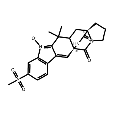 CC1(C)C2=[N+]([O-])c3cc(S(C)(=O)=O)ccc3C2=C[C@@]23NC(=O)[C@]4(CCCN4C2=O)CC13